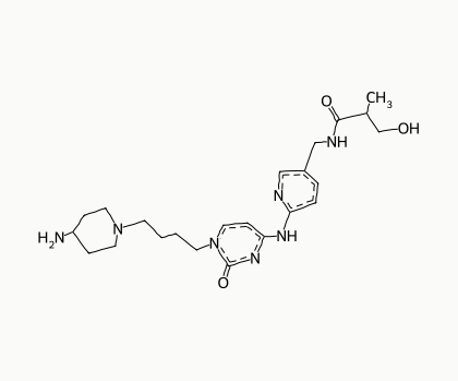 CC(CO)C(=O)NCc1ccc(Nc2ccn(CCCCN3CCC(N)CC3)c(=O)n2)nc1